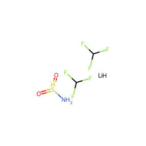 FC(F)F.FC(F)F.N[SH](=O)=O.[LiH]